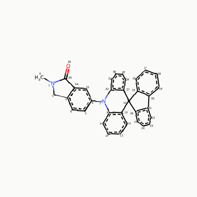 CN1Cc2ccc(N3c4ccccc4C4(c5ccccc5-c5ccccc54)c4ccccc43)cc2C1=O